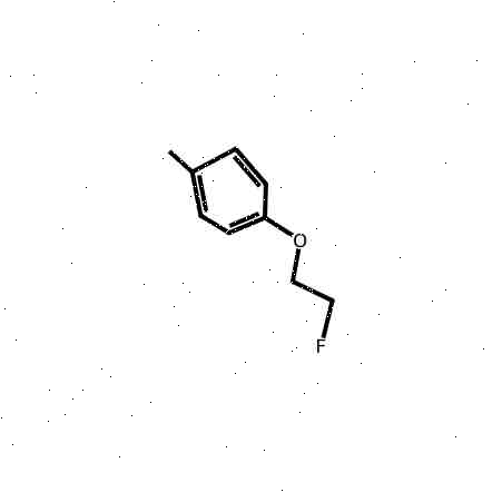 Cc1ccc(OCCF)cc1